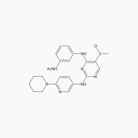 CC(=O)Nc1cccc(Nc2nc(Nc3ccc(N4CCCCC4)nc3)ncc2[S+](C)[O-])c1